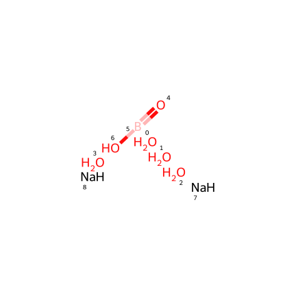 O.O.O.O.O=BO.[NaH].[NaH]